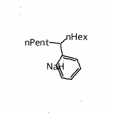 CCCCCCC(CCCCC)c1ccccc1.[NaH]